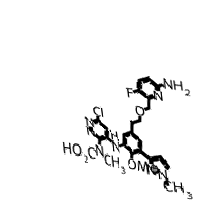 COc1c(Nc2cc(Cl)nnc2N(C)C(=O)O)cc(CCOCc2nc(N)ccc2F)cc1-c1ccn(C)n1